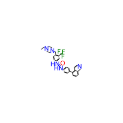 CCN1CCN(Cc2ccc(NC(=O)Nc3ccc(-c4cccc5cnccc45)cc3)cc2C(F)(F)F)CC1